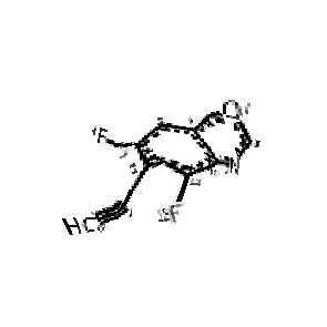 C#Cc1c(F)cc2ocnc2c1F